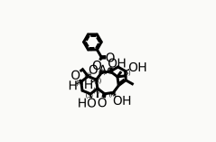 CC(=O)O[C@@]12CO[C@@H]1C[C@H](O)[C@@]1(C)C(=O)[C@H](O)C3=C(C)[C@@H](O)CC(O)([C@@H](OC(=O)c4ccccc4)[C@H]21)C3(C)C